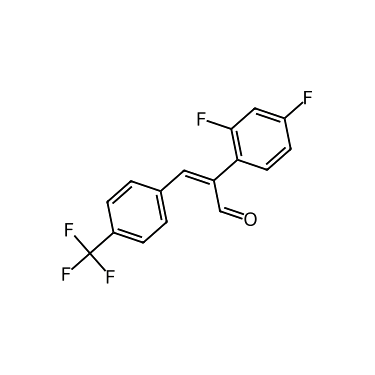 O=CC(=Cc1ccc(C(F)(F)F)cc1)c1ccc(F)cc1F